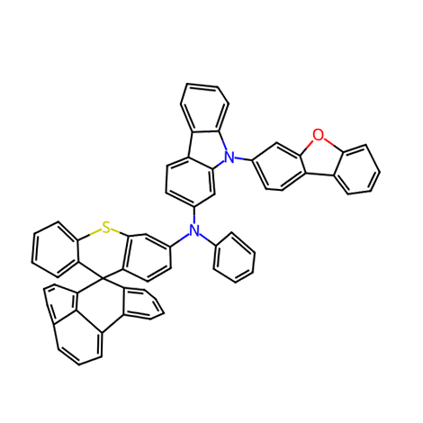 c1ccc(N(c2ccc3c(c2)Sc2ccccc2C32c3ccccc3-c3cccc4cccc2c34)c2ccc3c4ccccc4n(-c4ccc5c(c4)oc4ccccc45)c3c2)cc1